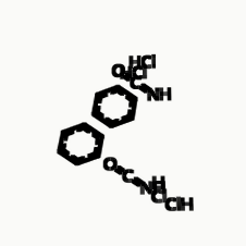 Cl.Cl.Cl.Cl.N=C=O.N=C=O.c1ccccc1.c1ccccc1